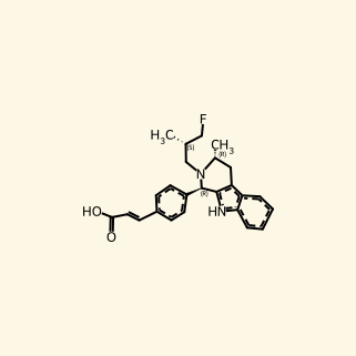 C[C@H](CF)CN1[C@H](c2ccc(C=CC(=O)O)cc2)c2[nH]c3ccccc3c2C[C@H]1C